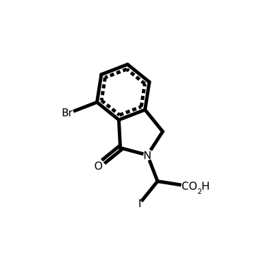 O=C(O)C(I)N1Cc2cccc(Br)c2C1=O